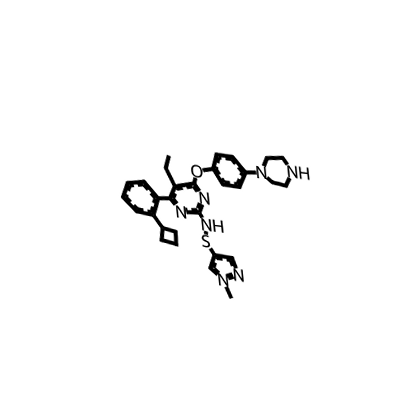 CCc1c(Oc2ccc(N3CCNCC3)cc2)nc(NSc2cnn(C)c2)nc1-c1ccccc1C1CCC1